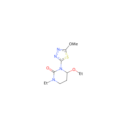 CCOC1CCN(CC)C(=O)N1c1nnc(OC)s1